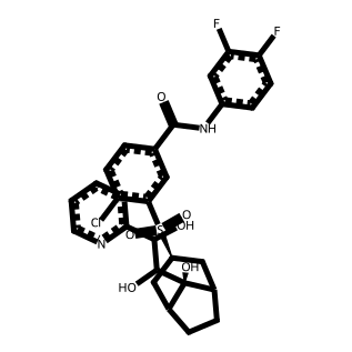 O=C(Nc1ccc(F)c(F)c1)c1ccc(Cl)c(S(=O)(=O)[C@H]2CC3CCC(C2)[C@]3(O)C(O)C(O)c2ncccn2)c1